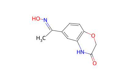 C/C(=N\O)c1ccc2c(c1)NC(=O)CO2